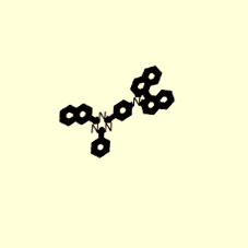 c1ccc(-c2nc(-c3ccc(-n4c5ccc6ccccc6c5c5c6ccccc6ccc54)cc3)nc(-c3ccc4ccccc4c3)n2)cc1